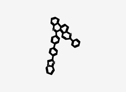 c1ccc(-c2ccc3c(ccc4c5ccccc5nc(-c5ccc(-c6ccc(-c7cn8ccccc8n7)cc6)cc5)c34)n2)cc1